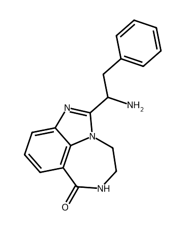 NC(Cc1ccccc1)c1nc2cccc3c2n1CCNC3=O